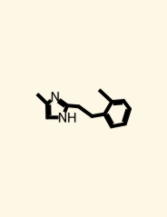 Cc1c[nH]c(CCc2ccccc2C)n1